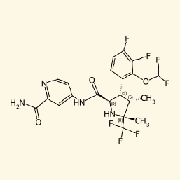 C[C@H]1[C@@H](c2ccc(F)c(F)c2OC(F)F)[C@H](C(=O)Nc2ccnc(C(N)=O)c2)N[C@@]1(C)C(F)(F)F